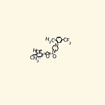 C=C(/C=C\C(=C/C)C(F)(F)F)[C@@H]1C[C@H](C(=O)N2CCN(c3cc(C(F)(F)F)ccc3C)CC2)O1